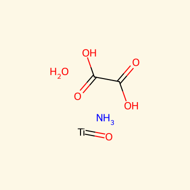 N.O.O=C(O)C(=O)O.[O]=[Ti]